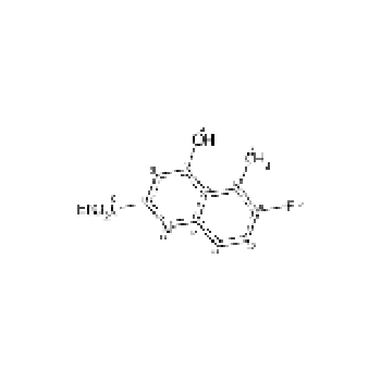 CCOC(=O)c1cc(O)c2c(C)c(F)ccc2n1